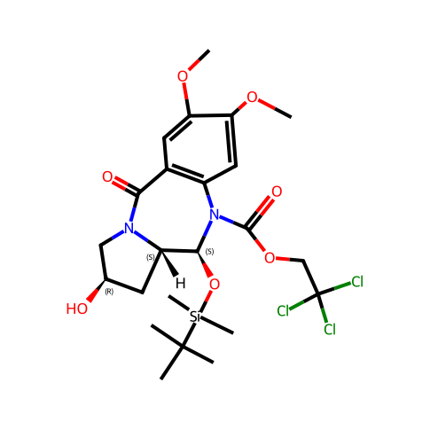 COc1cc2c(cc1OC)N(C(=O)OCC(Cl)(Cl)Cl)[C@@H](O[Si](C)(C)C(C)(C)C)[C@@H]1C[C@@H](O)CN1C2=O